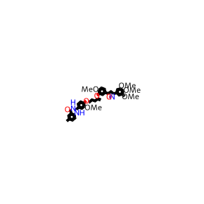 C=C(CCCOc1ccc(C2NC(=O)c3cc(C)ccc3N2)cc1OC)Oc1cc(C2CC(c3cc(OC)c(OC)c(OC)c3)=NO2)ccc1OC